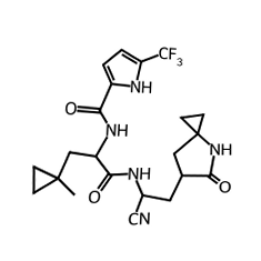 CC1(CC(NC(=O)c2ccc(C(F)(F)F)[nH]2)C(=O)NC(C#N)CC2CC3(CC3)NC2=O)CC1